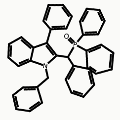 O=P(c1ccccc1)(c1ccccc1)C(c1ccccc1)c1c(-c2ccccc2)c2ccccc2n1Cc1ccccc1